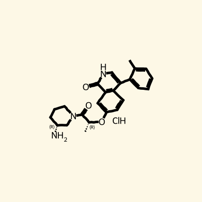 Cc1ccccc1-c1c[nH]c(=O)c2cc(O[C@H](C)C(=O)N3CCC[C@@H](N)C3)ccc12.Cl